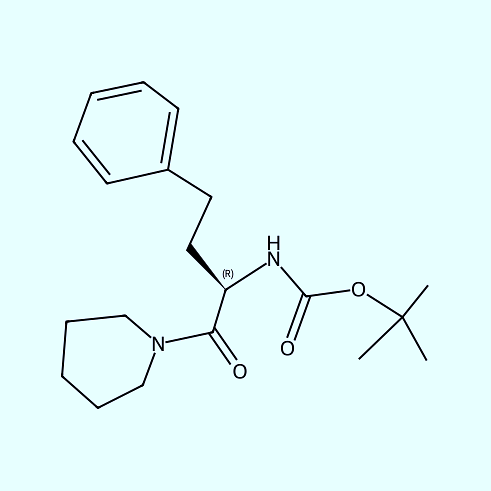 CC(C)(C)OC(=O)N[C@H](CCc1ccccc1)C(=O)N1CCCCC1